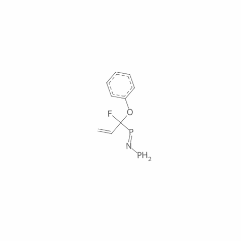 C=CC(F)(Oc1ccccc1)P=NP